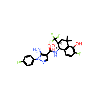 CC1(C)C[C@](O)(C(F)(F)F)[C@H](NC(=O)c2cnn(-c3ccc(F)cc3)c2N)c2ccc(F)c(O)c21